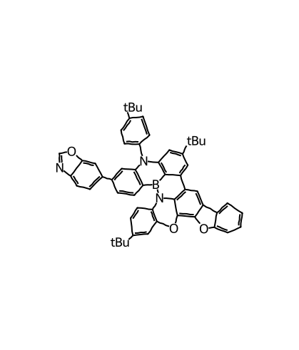 CC(C)(C)c1ccc(N2c3cc(-c4ccc5ncoc5c4)ccc3B3c4c(cc(C(C)(C)C)cc42)-c2cc4c(oc5ccccc54)c4c2N3c2ccc(C(C)(C)C)cc2O4)cc1